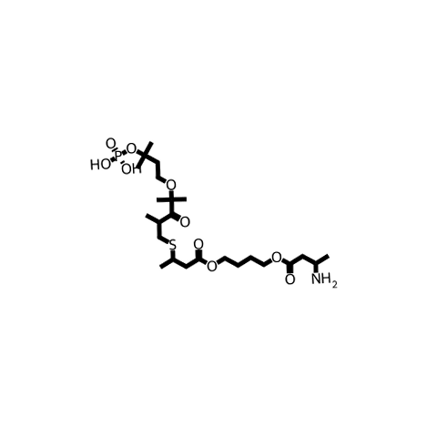 CC(N)CC(=O)OCCCCOC(=O)CC(C)SCC(C)C(=O)C(C)(C)OCCC(C)(C)OP(=O)(O)O